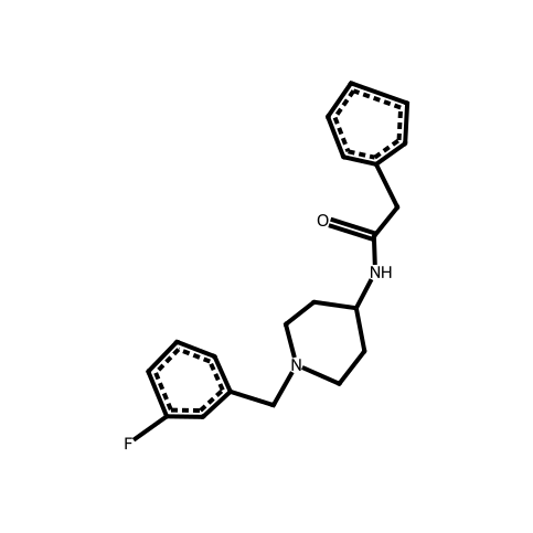 O=C(Cc1ccccc1)NC1CCN(Cc2cccc(F)c2)CC1